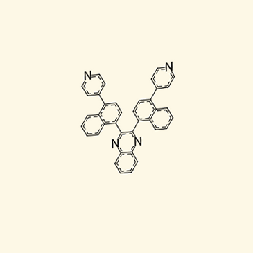 c1ccc2nc(-c3ccc(-c4ccncc4)c4ccccc34)c(-c3ccc(-c4ccncc4)c4ccccc34)nc2c1